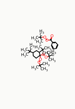 CC(C)(C)OOC(=O)c1ccccc1.CC(C)(C)OOC1(OOC(C)(C)C)CCC(C(C)(C)C)CC1C(C)(C)C